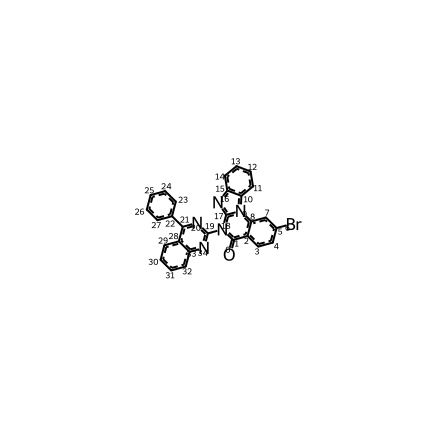 O=c1c2ccc(Br)cc2n2c3ccccc3nc2n1-c1nc(-c2ccccc2)c2ccccc2n1